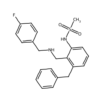 CS(=O)(=O)Nc1cccc(Cc2ccccc2)c1CNCc1ccc(F)cc1